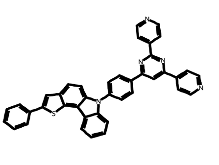 c1ccc(-c2cc3ccc4c(c5ccccc5n4-c4ccc(-c5cc(-c6ccncc6)nc(-c6ccncc6)n5)cc4)c3s2)cc1